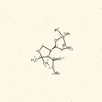 CC(C)[Si](OC(CN)[C@@H]1COC(C)(C)N1C(=O)OC(C)(C)C)(C(C)C)C(C)C